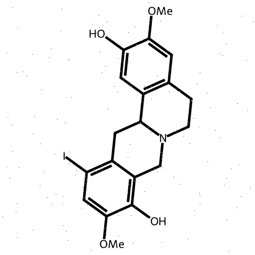 COc1cc2c(cc1O)C1Cc3c(I)cc(OC)c(O)c3CN1CC2